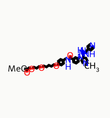 COC(=O)COCCCOCCCCCOc1ccc(CNC(=O)c2cccc(NC3(c4nnc(-c5ccncc5)[nH]4)CCN(C)CC3)c2)cc1